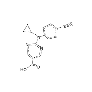 N#Cc1ccc(N(c2ncc(C(=O)O)cn2)C2CC2)cc1